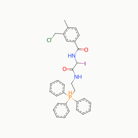 Cc1ccc(C(=O)NC(I)C(=O)NCC[PH](c2ccccc2)(c2ccccc2)c2ccccc2)cc1CCl